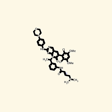 COc1cc(OC)c(Cl)c(-c2cc3cnc(Nc4ccc(N5CCOCC5)cc4)nc3n(C(C)c3cccc(NC(=O)/C=C/CN(C)C)c3)c2=O)c1Cl